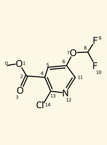 COC(=O)c1cc(OC(F)F)cnc1Cl